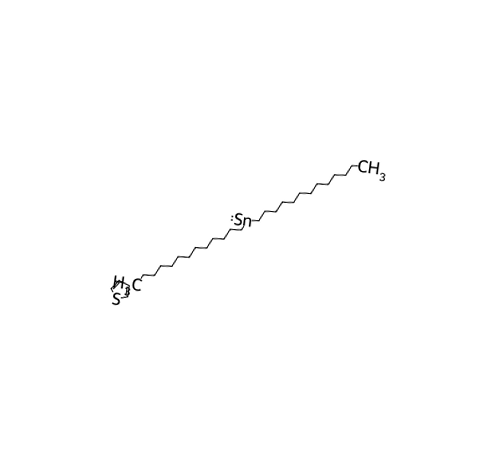 CCCCCCCCCCCC[CH2][Sn][CH2]CCCCCCCCCCCC.c1ccsc1